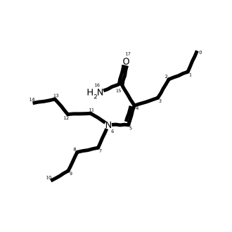 CCCCC(=CN(CCCC)CCCC)C(N)=O